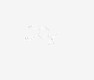 CCC1(c2ccc(OC)c(OC)c2)CC1